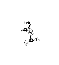 Fc1ccc([C@H]2[C@H](OCCc3cc(C(F)(F)F)cc(C(F)(F)F)c3)OCCN2CC#CCC2CCN2)cc1